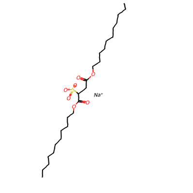 CCCCCCCCCCCOC(=O)CC(C(=O)OCCCCCCCCCCC)S(=O)(=O)[O-].[Na+]